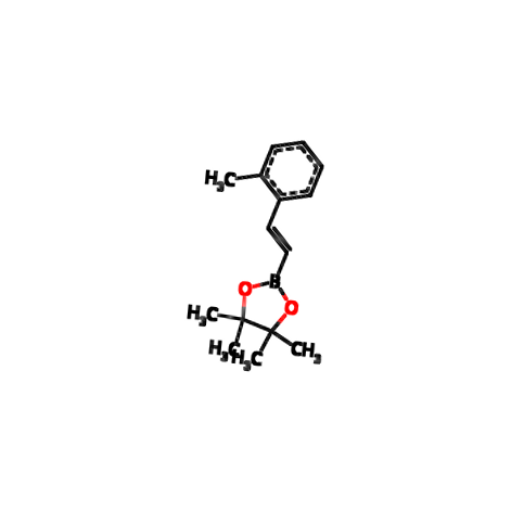 Cc1ccccc1/C=C/B1OC(C)(C)C(C)(C)O1